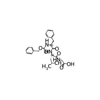 CC(C)C[C@H](NC(=O)[C@H](Cc1ccccc1)NC(=O)OCc1ccccc1)C(=O)NCC(=O)O